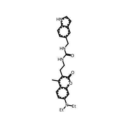 CCN(CC)c1ccc2c(C)c(CCNC(=O)NCc3ccc4[nH]ccc4c3)c(=O)oc2c1